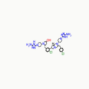 Nc1nnc(N2CCC(N3C[C@@H](O)C[C@@H]3Cc3ccc(Cl)c(C4C[C@H]5CN(C6CCN(c7nnc(N)[nH]7)CC6)[C@@H](Cc6ccc(Cl)cc6)CN5C4)c3)CC2)[nH]1